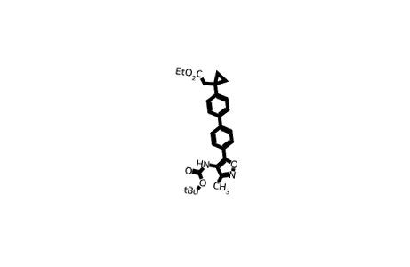 CCOC(=O)CC1(c2ccc(-c3ccc(-c4onc(C)c4NC(=O)OC(C)(C)C)cc3)cc2)CC1